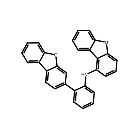 c1ccc(-c2ccc3c(c2)oc2ccccc23)c(Nc2cccc3oc4ccccc4c23)c1